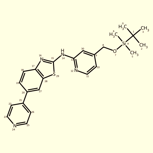 CC(C)(C)[Si](C)(C)OCc1ccnc(Nc2nc3ccc(-c4ccncc4)cc3s2)c1